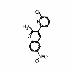 CC(=O)/C(=C\c1cccc([N+](=O)[O-])c1)c1cccc(Cl)n1